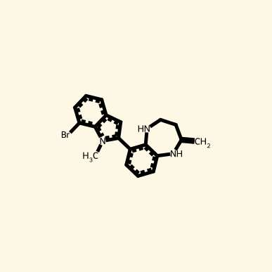 C=C1CCNc2c(cccc2-c2cc3cccc(Br)c3n2C)N1